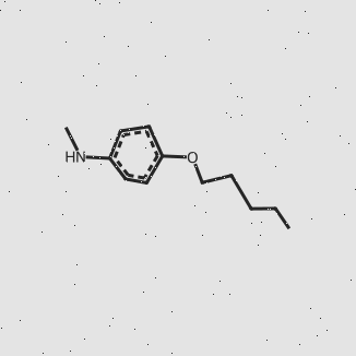 CCCCCOc1ccc(NC)cc1